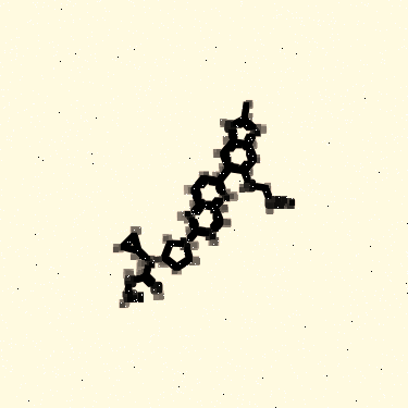 COCOc1cc2nc(C)oc2cc1-c1ccc2nc(N3CC[C@H](N(C(=O)OC(C)(C)C)C4CC4)C3)ncc2n1